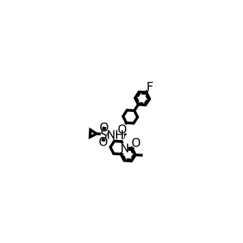 Cc1ccc2n(c1=O)[C@@H](COC1CCC(c3ccc(F)cc3)CC1)[C@@H](NS(=O)(=O)C1CC1)CC2